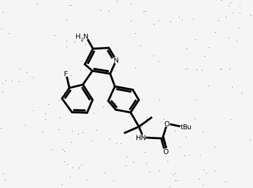 CC(C)(C)OC(=O)NC(C)(C)c1ccc(-c2ncc(N)cc2-c2ccccc2F)cc1